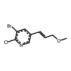 COC/C=C/c1cnc(Cl)c(Br)c1